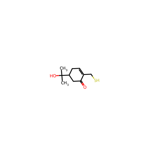 CC(C)(O)C1CC=C(CS)C(=O)C1